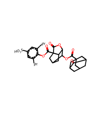 CC(C)c1cc(S(=O)(=O)O)cc(C(C)C)c1OC(=O)C12CC3CC1C(OC2=O)C3OC(=O)C12CC3CC(C1)C(=O)C(C3)C2